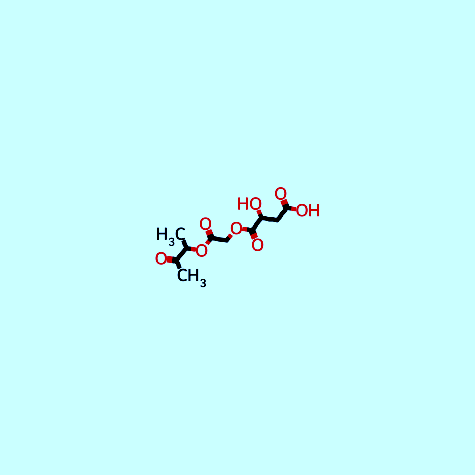 CC(=O)C(C)OC(=O)COC(=O)C(O)CC(=O)O